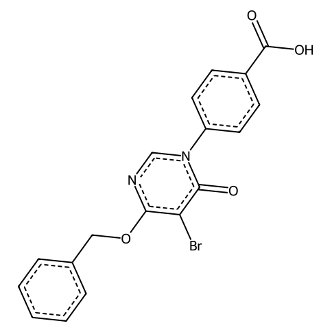 O=C(O)c1ccc(-n2cnc(OCc3ccccc3)c(Br)c2=O)cc1